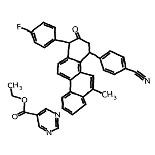 CCOC(=O)c1cncnc1.Cc1cc2c3c(ccc2c2ccccc12)C(c1ccc(F)cc1)C(=O)CC3c1ccc(C#N)cc1